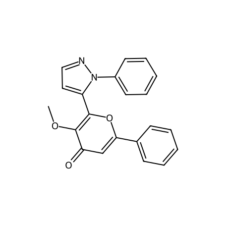 COc1c(-c2ccnn2-c2ccccc2)oc(-c2ccccc2)cc1=O